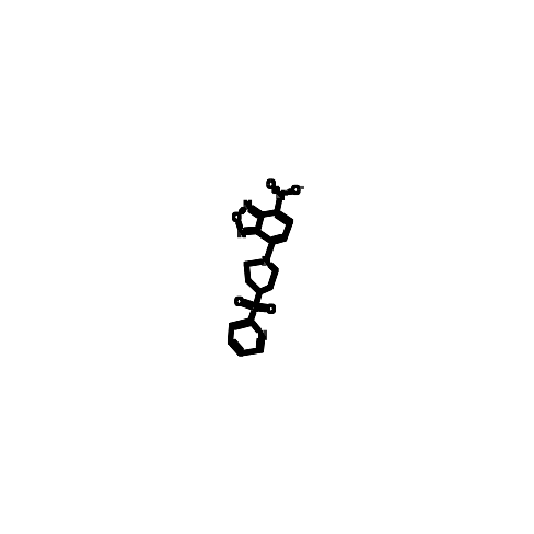 O=[N+]([O-])c1ccc(N2CCC(S(=O)(=O)c3ccccn3)CC2)c2nonc12